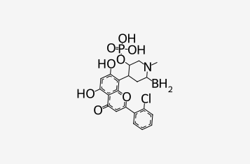 BC1CC(c2c(O)cc(O)c3c(=O)cc(-c4ccccc4Cl)oc23)C(OP(=O)(O)O)CN1C